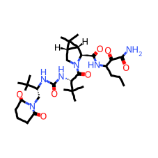 CCCC(NC(=O)[C@@H]1[C@@H]2[C@H](CN1C(=O)[C@@H](NC(=O)N[C@H](CN1C(=O)CCCC1=O)C(C)(C)C)C(C)(C)C)C2(C)C)C(=O)C(N)=O